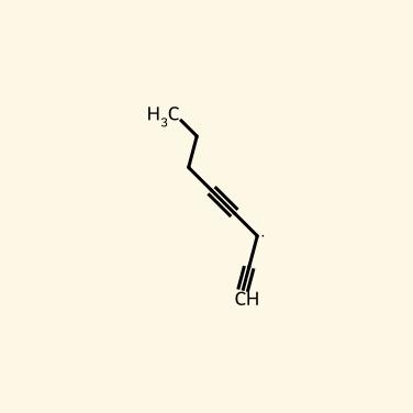 C#C[CH]C#CCCC